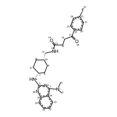 CN(C)c1nc(N[C@H]2CC[C@@H](CNC(=O)CCC(=O)c3ccc(F)cc3)CC2)nc2ccccc12